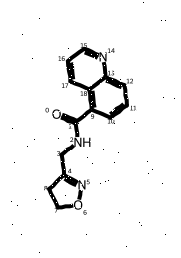 O=C(NCC1=NOCC1)c1cccc2ncccc12